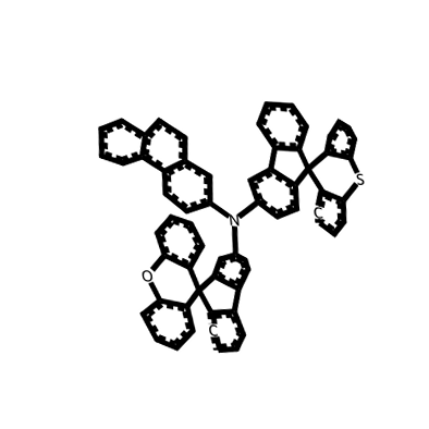 c1ccc2c(c1)Oc1ccccc1C21c2ccccc2-c2ccc(N(c3ccc4c(c3)-c3ccccc3C43c4ccccc4Sc4ccccc43)c3ccc4c(ccc5ccccc54)c3)cc21